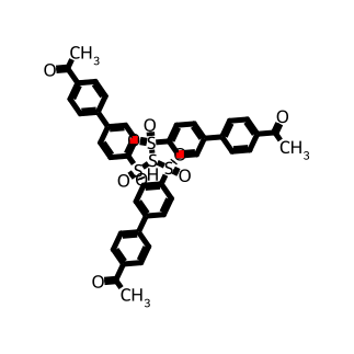 CC(=O)c1ccc(-c2ccc(S(=O)(=O)[SH](S(=O)(=O)c3ccc(-c4ccc(C(C)=O)cc4)cc3)S(=O)(=O)c3ccc(-c4ccc(C(C)=O)cc4)cc3)cc2)cc1